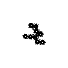 c1ccc(-c2ccc(-c3nc(-c4cccc(-c5ccccc5)c4)nc(-n4c5ccccc5c5cc(-c6cccc7c6sc6ccccc67)ccc54)n3)cc2)cc1